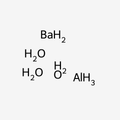 O.O.O.[AlH3].[BaH2]